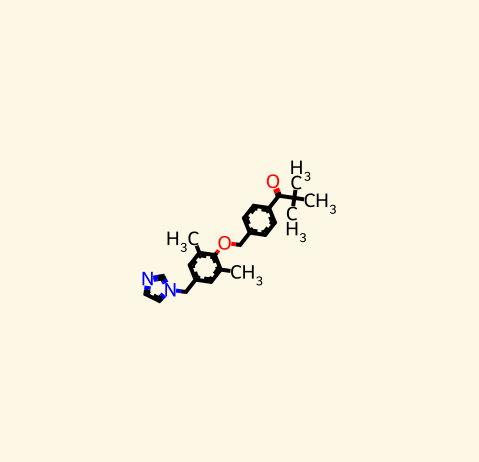 Cc1cc(Cn2ccnc2)cc(C)c1OCc1ccc(C(=O)C(C)(C)C)cc1